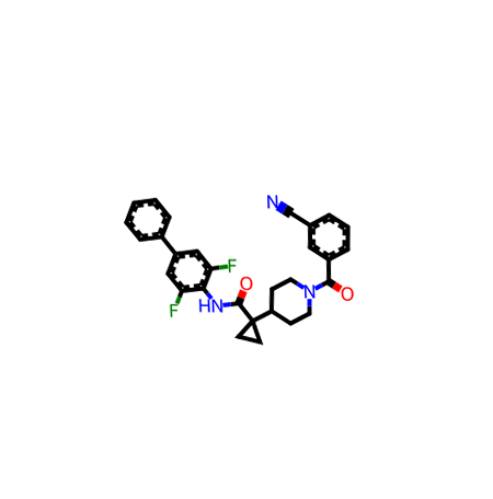 N#Cc1cccc(C(=O)N2CCC(C3(C(=O)Nc4c(F)cc(-c5ccccc5)cc4F)CC3)CC2)c1